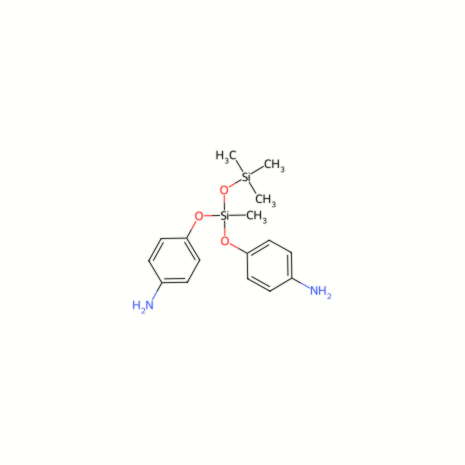 C[Si](C)(C)O[Si](C)(Oc1ccc(N)cc1)Oc1ccc(N)cc1